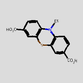 CCN1c2ccc(C(=O)O)cc2Sc2cc(C(=O)O)ccc21